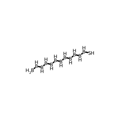 BBBBBBBBBBBBS